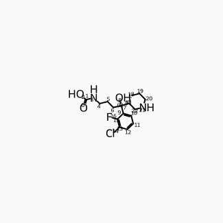 O=C(O)NCCC[C@@](O)(c1cccc(Cl)c1F)[C@@H]1CCCNC1